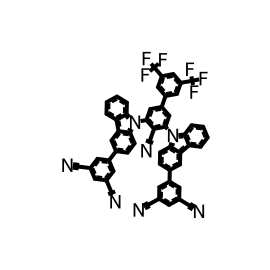 N#Cc1cc(C#N)cc(-c2ccc3c(c2)c2ccccc2n3-c2cc(-c3cc(C(F)(F)F)cc(C(F)(F)F)c3)cc(-n3c4ccccc4c4cc(-c5cc(C#N)cc(C#N)c5)ccc43)c2C#N)c1